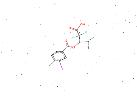 Cc1ccc(C(=O)OC(C(C)C)C(F)(F)C(=O)O)cc1I